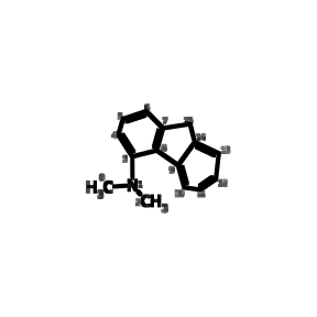 CN(C)c1cc[c]c2c1-c1ccccc1C2